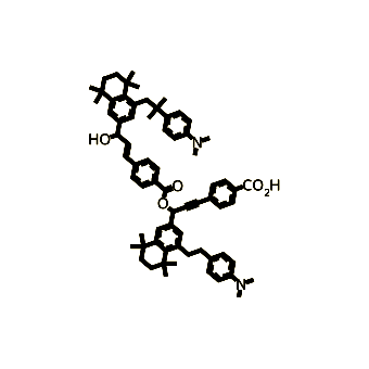 CN(C)c1ccc(CCc2cc(C(C#Cc3ccc(C(=O)O)cc3)OC(=O)c3ccc(C=CC(O)c4cc(CC(C)(C)c5ccc(N(C)C)cc5)c5c(c4)C(C)(C)CCC5(C)C)cc3)cc3c2C(C)(C)CCC3(C)C)cc1